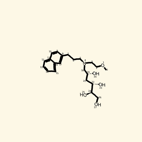 COCCN(CCCc1ccc2ccccc2c1)C[C@H](O)C[C@H](O)[C@H](O)CO